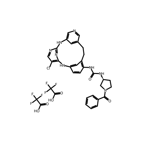 O=C(Nc1ccc2cc1CCc1cncc(c1)Nc1ncc(Cl)c(n1)N2)N[C@H]1CCN(C(=O)c2ccccc2)C1.O=C(O)C(F)(F)F.O=C(O)C(F)(F)F